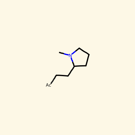 CC(=O)CCC1CCCN1C